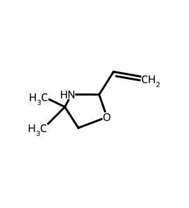 C=CC1NC(C)(C)CO1